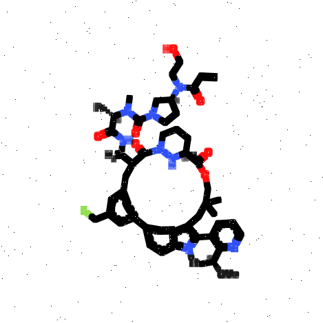 C=CC(=O)N(CCO)[C@H]1CCN(C(=O)N(C)[C@H](C(=O)N[SiH2]C2Cc3cc(CF)cc(c3)-c3ccc4c(c3)c(c(-c3cccnc3[C@H](C)OC)n4CC)CC(C)(C)COC(=O)[C@@H]3CCCN(N3)C2=O)C(C)C)C1